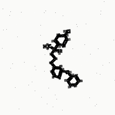 CCC(C)(CCCc1cccc(Oc2ccccc2)c1)c1ccc(Cl)cc1